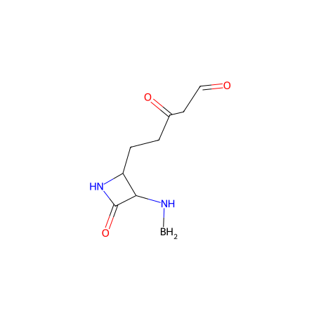 BNC1C(=O)NC1CCC(=O)CC=O